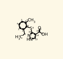 CCc1cccc(C)c1Sc1n[nH]cc1C(=O)O